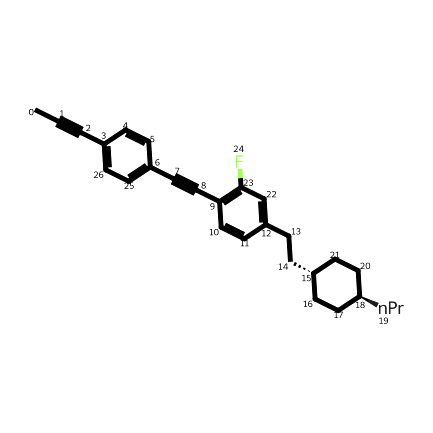 CC#Cc1ccc(C#Cc2ccc(CC[C@H]3CC[C@H](CCC)CC3)cc2F)cc1